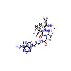 CC(C)(C)[C@@H](C(=O)N1CCC[C@H]1C(=O)NCCCN1CNc2c(N)ncnc21)N(N)/C=C(\N)C1CC1